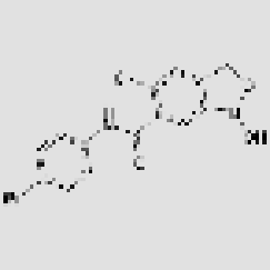 CC(C)c1ccc(NC(=O)c2cc3c(cc2Cl)COB3O)cc1